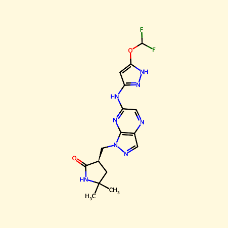 CC1(C)C[C@H](Cn2ncc3ncc(Nc4cc(OC(F)F)[nH]n4)nc32)C(=O)N1